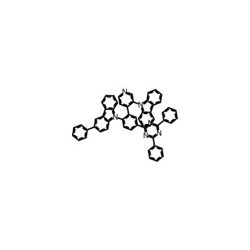 c1ccc(-c2ccc3c(c2)c2ccccc2n3-c2ccc(-c3nc(-c4ccccc4)nc(-c4ccccc4)n3)cc2-c2ccncc2-n2c3ccccc3c3ccccc32)cc1